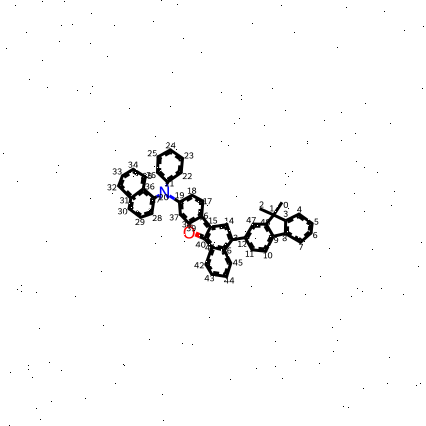 CC1(C)c2ccccc2-c2ccc(-c3cc4c5ccc(N(c6ccccc6)c6cccc7ccccc67)cc5oc4c4ccccc34)cc21